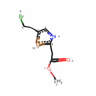 COC(=O)c1ncc(CBr)s1